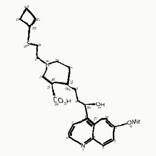 COc1ccc2nccc([C@H](O)CC[C@@H]3CCN(CCSC4CCC4)C[C@@H]3C(=O)O)c2c1